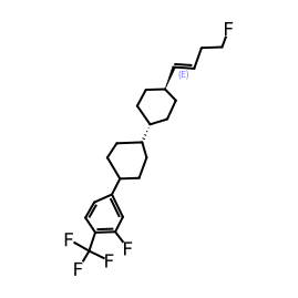 FCC/C=C/[C@H]1CC[C@H](C2CCC(c3ccc(C(F)(F)F)c(F)c3)CC2)CC1